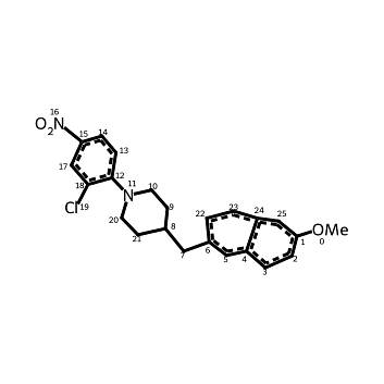 COc1ccc2cc(CC3CCN(c4ccc([N+](=O)[O-])cc4Cl)CC3)ccc2c1